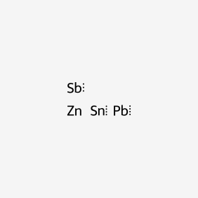 [Pb].[Sb].[Sn].[Zn]